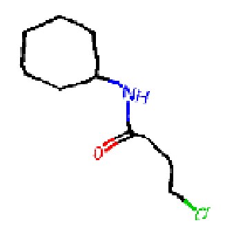 O=C([CH]CCl)NC1CCCCC1